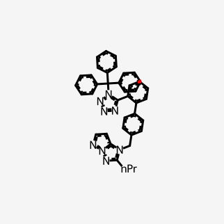 CCCc1nn2nccc2n1Cc1ccc(-c2ccccc2-c2nnnn2C(c2ccccc2)(c2ccccc2)c2ccccc2)cc1